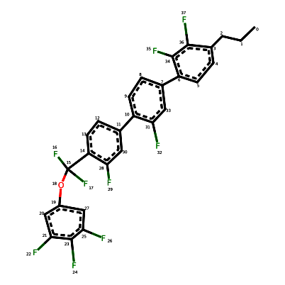 CCCc1ccc(-c2ccc(-c3ccc(C(F)(F)Oc4cc(F)c(F)c(F)c4)c(F)c3)c(F)c2)c(F)c1F